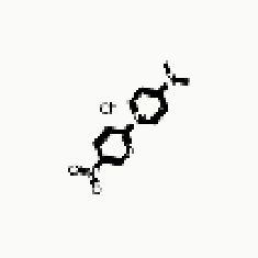 CN(C)c1cc[n+](-c2ccc([N+](=O)[O-])cn2)cc1.[Cl-]